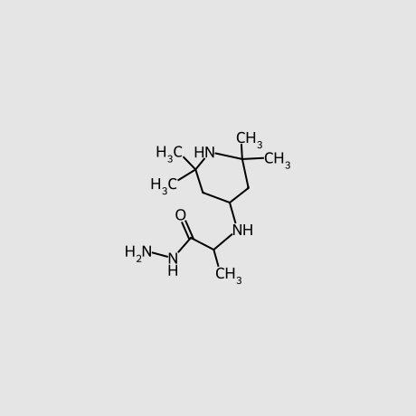 CC(NC1CC(C)(C)NC(C)(C)C1)C(=O)NN